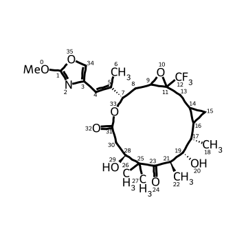 COc1nc(/C=C(\C)[C@@H]2CC3OC3(C(F)(F)F)CC3CC3[C@H](C)[C@H](O)[C@@H](C)C(=O)C(C)(C)[C@@H](O)CC(=O)O2)co1